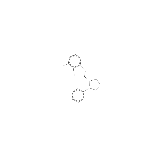 Cc1cccc(OC[C@H]2CCCN2c2ccccc2)c1C=O